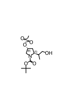 CC(CO)[C@@H]1C[C@@H](OS(C)(=O)=O)CN1C(=O)OC(C)(C)C